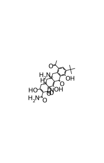 CC(=O)c1cc(C(C)(C)C)c(O)c2c1C[C@@]1(N)C[C@H]3CC(O)=C(C(N)=O)C(=O)[C@@]3(N=O)C(O)=C1C2=O